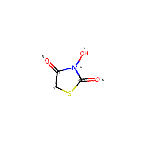 O=C1CSC(=O)N1O